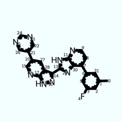 Cc1cc(F)cc(-c2ccnc3[nH]c(-c4n[nH]c5ncc(-c6cncnc6)cc45)nc23)c1